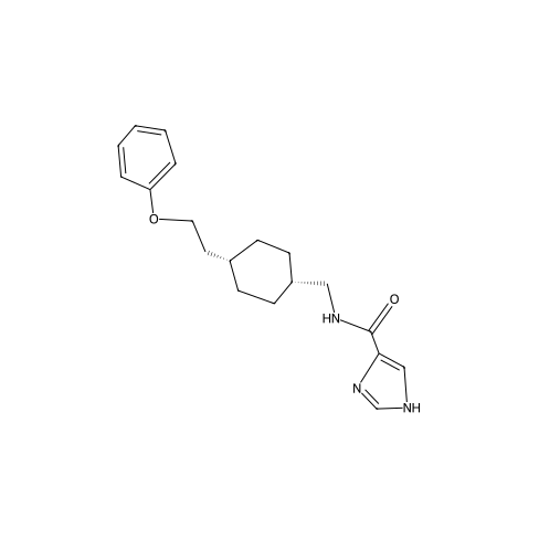 O=C(NC[C@H]1CC[C@@H](CCOc2ccccc2)CC1)c1c[nH]cn1